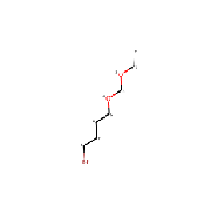 CCOCOCCCCBr